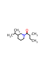 CC[C@@H](C)C(=O)N1CCCC(C(C)C)C1